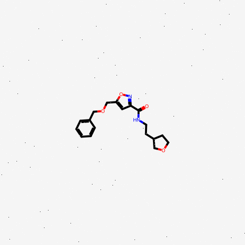 O=C(NCCC1CCOC1)c1cc(COCc2ccccc2)on1